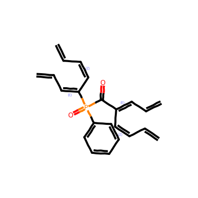 C=C/C=C\C(=C/C=C)C(=O)P(=O)(C(/C=C\C=C)=C/C=C)c1ccccc1